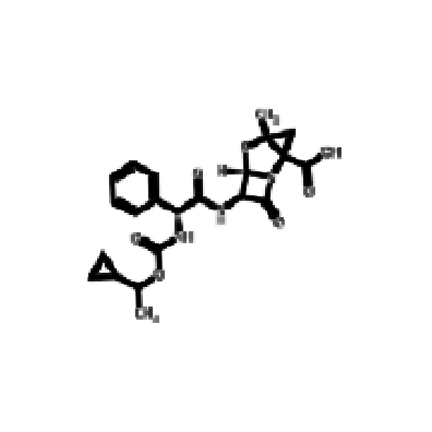 CC(OC(=O)N[C@H](C(=O)NC1C(=O)N2[C@H]1SC1(C)CC21C(=O)O)c1ccccc1)C1CC1